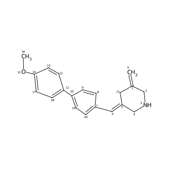 C=C1CNCC(=Cc2ccc(-c3ccc(OC)cc3)cc2)C1